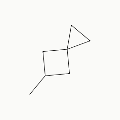 CC1CC2(CC2)C1